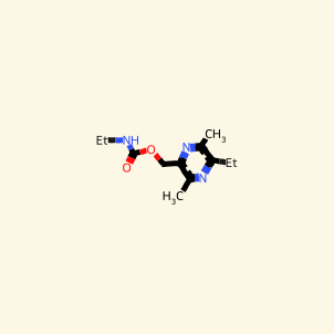 CCNC(=O)OCc1nc(C)c(CC)nc1C